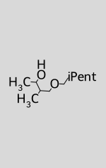 CCCC(C)COCC(C)C(C)O